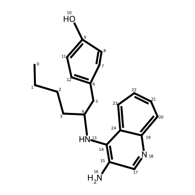 CCCCC(Cc1ccc(O)cc1)Nc1c(N)cnc2ccccc12